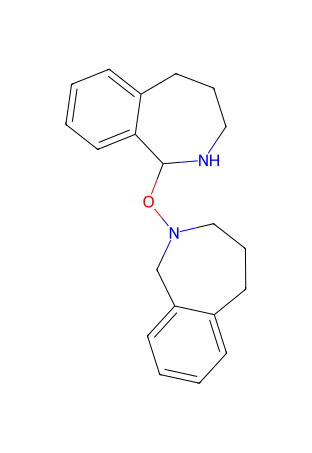 c1ccc2c(c1)CCCN(OC1NCCCc3ccccc31)C2